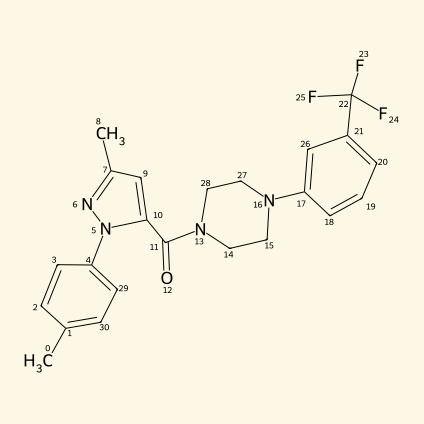 Cc1ccc(-n2nc(C)cc2C(=O)N2CCN(c3cccc(C(F)(F)F)c3)CC2)cc1